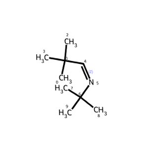 CC(C)(C)/C=N\C(C)(C)C